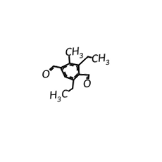 CCc1cc(C=O)c(C)c(CC)c1C=O